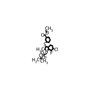 CCOC(=O)c1cccc(Sc2c(C)n(CC(=O)OC(C)(C)C)c3c(F)c(Cl)ccc23)c1